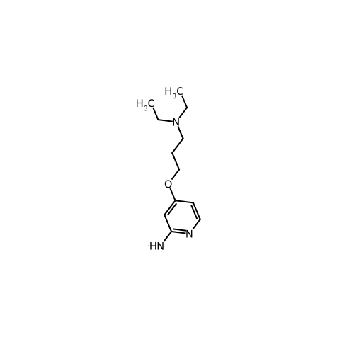 CCN(CC)CCCOc1ccnc([NH])c1